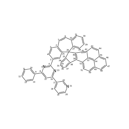 C1=Cc2ccc(-c3nc(-c4ccccc4)cc(-c4cccnc4)n3)cc2C2(c3ccccc31)c1ccccc1-c1c2cc2ccc3cccc4ccc1c2c34